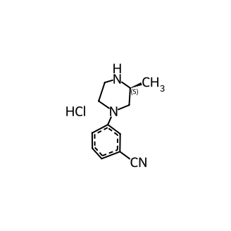 C[C@H]1CN(c2cccc(C#N)c2)CCN1.Cl